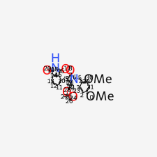 COc1ccc(CN2C(=O)[C@@H](c3cccc4c3C(=O)NC4=O)[C@H]2[C@@H]2COC(C)(C)O2)c(OC)c1